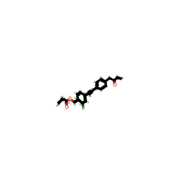 C=CC(=O)Cc1ccc(C#Cc2ccc(COC(=O)C=C)c(F)c2)cc1